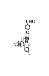 O=Cc1ccc(OCc2c3n(CC(O)(Cn4cncn4)c4ccc(F)cc4F)n2-3)cc1